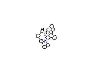 CC1(C)c2c(ccc3ccccc23)-c2c1c1ccc(N(c3ccccc3)c3cc(-c4ccccc4)ccc3-c3ccccc3)cc1c1ccccc21